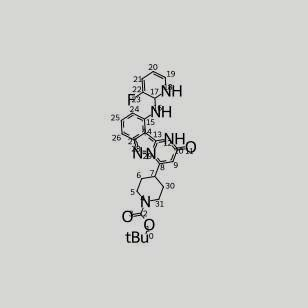 CC(C)(C)OC(=O)N1CCC(c2cc(=O)[nH]c3c4c(NC5NC=CC=C5F)cccc4nn23)CC1